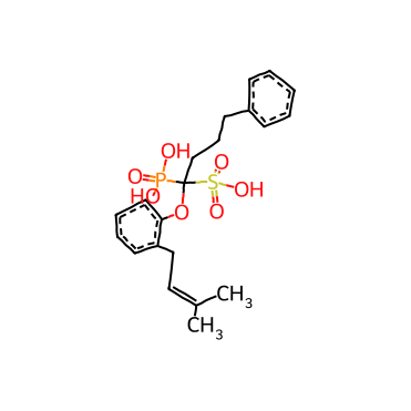 CC(C)=CCc1ccccc1OC(CCCc1ccccc1)(P(=O)(O)O)S(=O)(=O)O